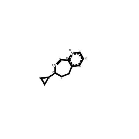 C1=NC(C2CC2)CCc2cccnc21